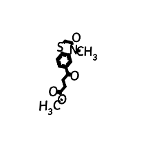 COC(=O)CCC(=O)c1ccc2c(c1)N(C)C(=O)CS2